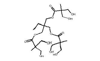 CCC(COC(=O)C(C)(CO)CO)(COC(=O)C(C)(CO)CO)COC(=O)C(C)(CO)CO